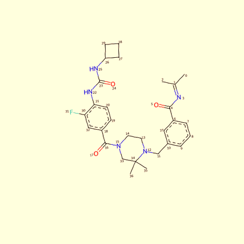 CC(C)=NC(=O)c1cccc(CN2CCN(C(=O)c3ccc(NC(=O)NC4CCC4)c(F)c3)CC2(C)C)c1